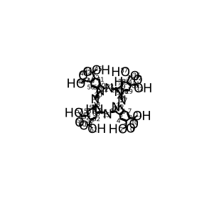 O=C(O)c1cc2c(cc1C(=O)O)-c1nc-2nc2[nH]c(nc3nc(nc4[nH]c(n1)c1cc(C(=O)O)c(C(=O)O)cc41)-c1cc(C(=O)O)c(C(=O)O)cc1-3)c1cc(C(=O)O)c(C(=O)O)cc21